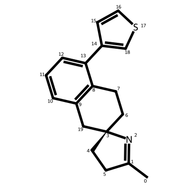 CC1=N[C@@]2(CC1)CCc1c(cccc1-c1ccsc1)C2